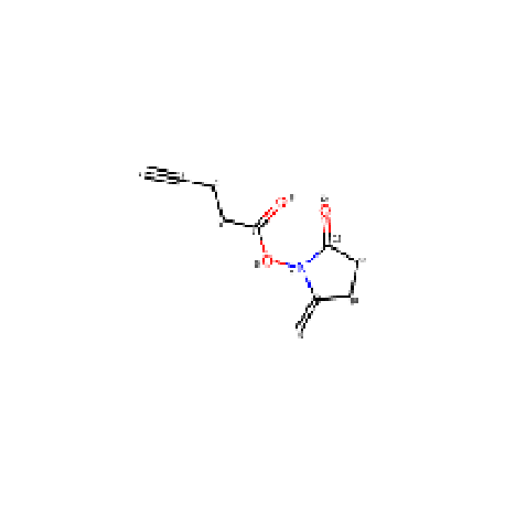 C#CCCC(=O)ON1C(=C)CCC1=O